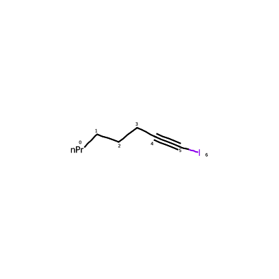 [CH2]CCCCCC#CI